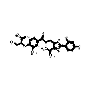 CCC(Sc1ccc(C(=O)CCc2nc(-c3ccc(Cl)cc3Cl)oc2C(C)C)cc1C)C(=O)O